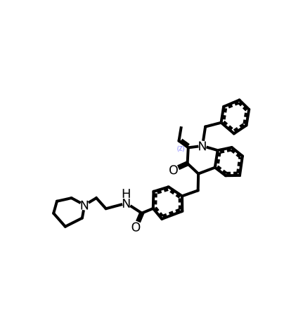 C/C=C1/C(=O)C(Cc2ccc(C(=O)NCCN3CCCCC3)cc2)c2ccccc2N1Cc1ccccc1